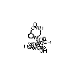 C[C@@H](OP(=O)(O)O)[C@@H](OP(=O)(O)O)[C@@H](CN1CCCCNC(=O)OCc2cccc1c2)OP(=O)(O)O